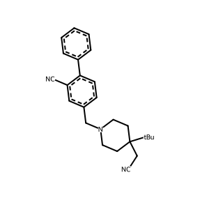 CC(C)(C)C1(CC#N)CCN(Cc2ccc(-c3ccccc3)c(C#N)c2)CC1